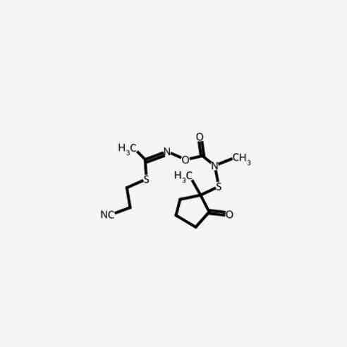 CC(=NOC(=O)N(C)SC1(C)CCCC1=O)SCCC#N